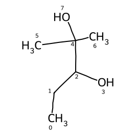 CCC(O)C(C)(C)O